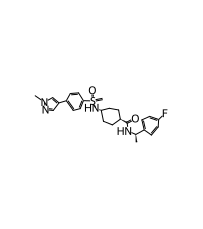 C=S(=O)(N[C@H]1CC[C@H](C(=O)N[C@H](C)c2ccc(F)cc2)CC1)c1ccc(-c2cnn(C)c2)cc1